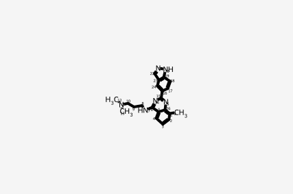 Cc1cccc2c(NCCCN(C)C)nc(-c3ccc4[nH]ncc4c3)nc12